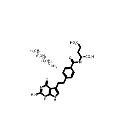 Nc1nc(=O)c2c(CCc3ccc(C(=O)N[C@@H](CCC(=O)O)C(=O)O)cc3)c[nH]c2[nH]1.O.O.O.O.O.O.O